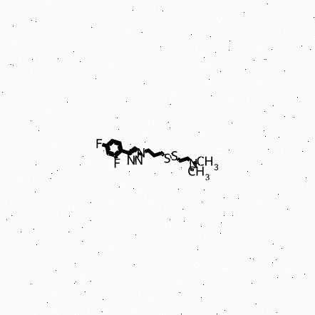 CN(C)CCSSCCCn1cc(-c2ccc(F)cc2F)nn1